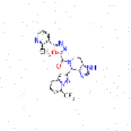 Cc1ncccc1-c1nnc(C(=O)N2CCc3[nH]cnc3C2c2cc3cccc(C(F)(F)F)n3n2)o1